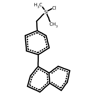 C[Si](C)(Cl)Cc1ccc(-c2cccc3ccccc23)cc1